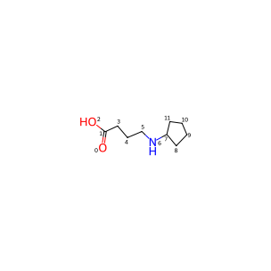 O=C(O)CCCNC1CCCC1